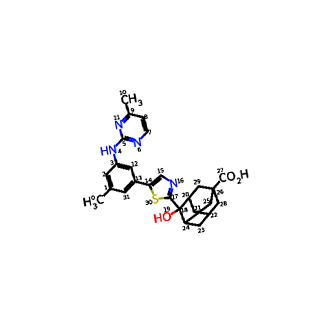 Cc1cc(Nc2nccc(C)n2)cc(-c2cnc(C3(O)C4CC5CC3CC(C(=O)O)(C5)C4)s2)c1